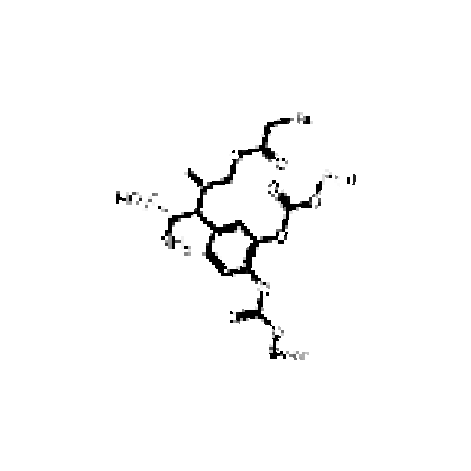 CCCC(C)OC(=O)Oc1ccc(C(C(C)COC(=O)CC(C)CC)[C@H](N)C(=O)O)cc1OC(=O)OC(C)CCC